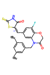 CC(C)(C)c1cc(CN2C(=O)COc3c(F)cc(/C=C4/SC(=S)NC4=O)cc32)cc(C(C)(C)C)c1